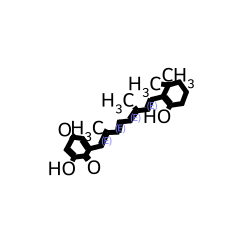 CC(/C=C/C1=C(O)CCCC1(C)C)=C\C=C\C(C)=C\C1=CC(=O)C=C(O)C1=O